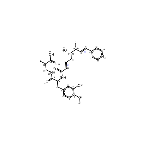 COc1ccc(CC(NC(=O)/C=C/C[C@H](O)[C@H](C)/C=C/c2ccncc2)C(=O)NCC(C)C(=O)O)cc1Cl